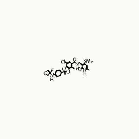 CSc1cc(C)[nH]c(=O)c1CNC(=O)c1cc(Cl)c2c(c1C)OC(C)(C1CCC(NC3(F)COC3)CC1)O2